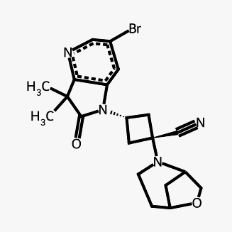 CC1(C)C(=O)N([C@H]2C[C@@](C#N)(N3CCC4CC3CO4)C2)c2cc(Br)cnc21